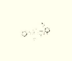 CON=C1CC2(NC(=O)N(CC(=O)N(Cc3ccccc3)C(C)C3CC3)C2=O)c2ccccc21